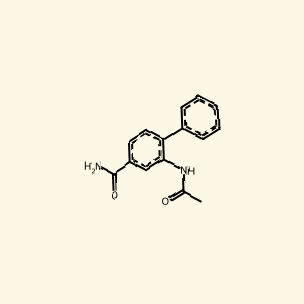 CC(=O)Nc1cc(C(N)=O)ccc1-c1ccccc1